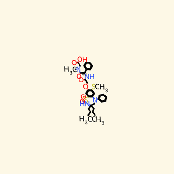 CCCCC1(CCCC)CN(c2ccccc2)c2cc(SC)c(OCC(=O)N[C@@H](C(=O)N(C)CC(=O)O)c3ccccc3)cc2S(=O)(=O)N1